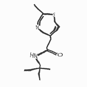 Cc1nc(C(=O)NC(C)(C)C)cs1